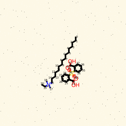 CCCCCCCCCCCCCCCC[N+](C)(C)CC.O=C(O)c1ccccc1S(=O)(=O)c1ccccc1C(=O)O